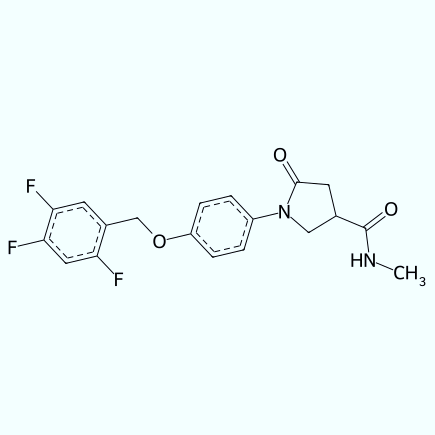 CNC(=O)C1CC(=O)N(c2ccc(OCc3cc(F)c(F)cc3F)cc2)C1